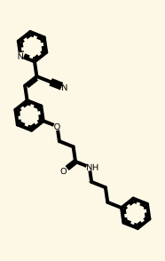 N#CC(=Cc1cccc(OCCC(=O)N[CH]CCc2ccccc2)c1)c1ccccn1